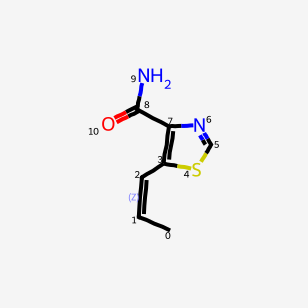 C/C=C\c1scnc1C(N)=O